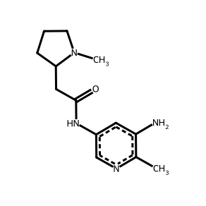 Cc1ncc(NC(=O)CC2CCCN2C)cc1N